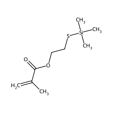 C=C(C)C(=O)OCCS[Si](C)(C)C